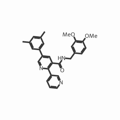 COc1ccc(CNC(=O)c2cc(-c3cc(C)cc(C)c3)cnc2-c2cccnc2)cc1OC